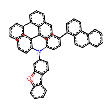 c1ccc(-c2cccc3cccc(-c4ccccc4N(c4ccc(-c5cccc6c5ccc5ccccc56)cc4)c4ccc5c(c4)oc4ccccc45)c23)cc1